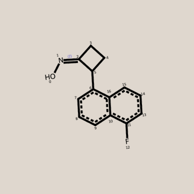 O/N=C1/CCC1c1cccc2c(F)cccc12